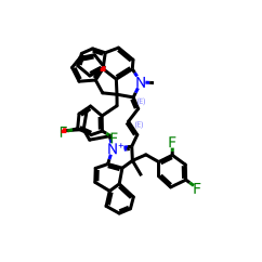 CC(C)CC[N+]1=C(/C=C/C=C2/N(C)c3ccc4ccccc4c3C2(Cc2ccccc2)Cc2ccc(F)cc2F)C(C)(Cc2ccc(F)cc2F)c2c1ccc1ccccc21